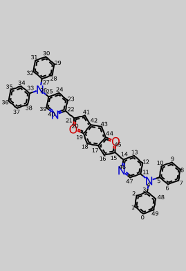 c1ccc(N(c2ccccc2)c2ccc(-c3cc4cc5oc(-c6ccc(N(c7ccccc7)c7ccccc7)cn6)cc5cc4o3)nc2)cc1